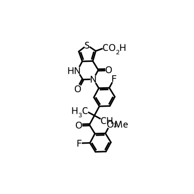 COc1cccc(F)c1C(=O)C(C)(C)c1ccc(F)c(-n2c(=O)[nH]c3csc(C(=O)O)c3c2=O)c1